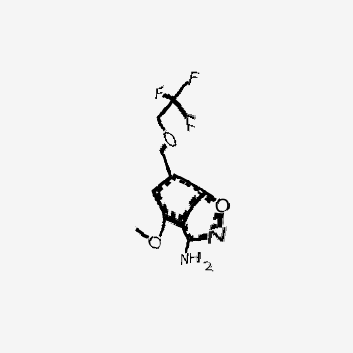 COc1cc(COCC(F)(F)F)cc2onc(N)c12